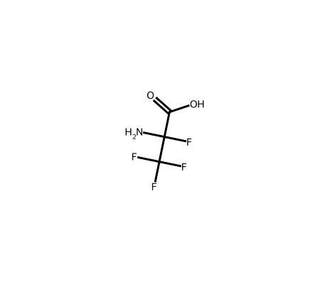 NC(F)(C(=O)O)C(F)(F)F